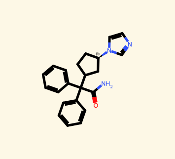 NC(=O)C(c1ccccc1)(c1ccccc1)C1CC[C@@H](n2ccnc2)C1